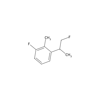 C[C](CF)c1cccc(F)c1C